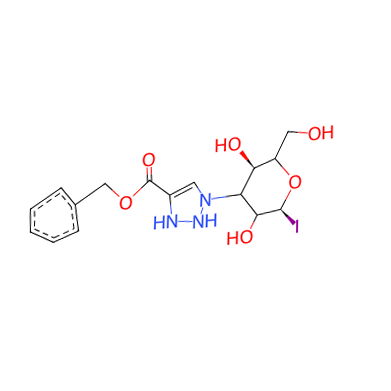 O=C(OCc1ccccc1)C1=CN(C2C(O)[C@H](I)OC(CO)[C@@H]2O)NN1